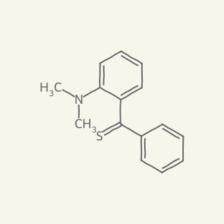 CN(C)c1ccccc1C(=S)c1ccccc1